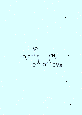 COC(C)OC(C)C=C(C#N)C(=O)O